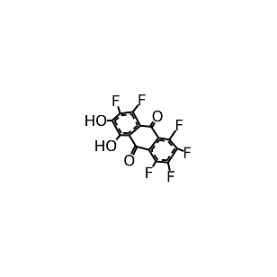 O=C1c2c(O)c(O)c(F)c(F)c2C(=O)c2c(F)c(F)c(F)c(F)c21